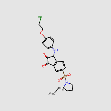 COC[C@@H]1CCCN1S(=O)(=O)c1ccc2c(c1)C(=O)C(=O)C2Nc1ccc(OCC[18F])cc1